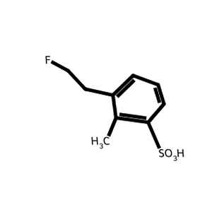 Cc1c(CCF)cccc1S(=O)(=O)O